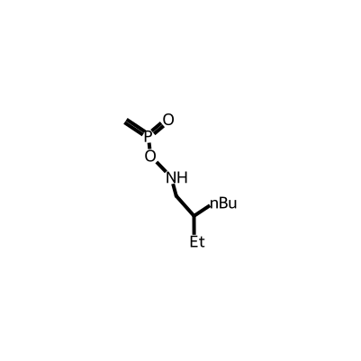 C=P(=O)ONCC(CC)CCCC